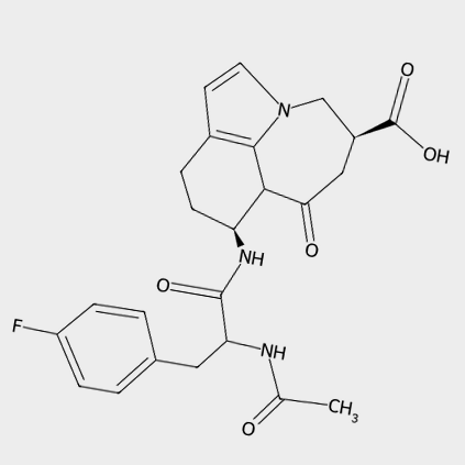 CC(=O)NC(Cc1ccc(F)cc1)C(=O)N[C@H]1CCc2ccn3c2C1C(=O)C[C@H](C(=O)O)C3